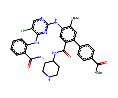 CNC(=O)c1ccc(-c2cc(OC)c(Nc3ncc(Cl)c(Nc4ccccc4C(N)=O)n3)cc2C(=O)NC2CCNCC2)cc1